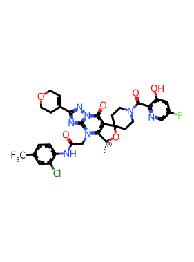 C[C@H]1OC2(CCN(C(=O)c3ncc(F)cc3O)CC2)c2c1n(CC(=O)Nc1ccc(C(F)(F)F)cc1Cl)c1nc(C3=CCOCC3)nn1c2=O